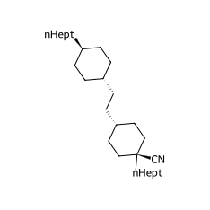 CCCCCCC[C@H]1CC[C@H](CC[C@H]2CC[C@@](C#N)(CCCCCCC)CC2)CC1